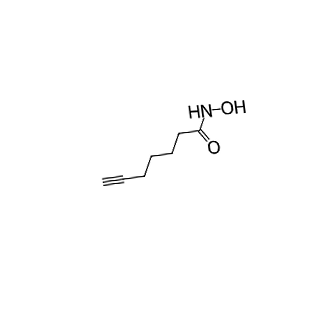 C#CCCCCC(=O)NO